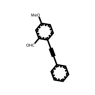 COc1ccc(C#Cc2ccccc2)c(C=O)c1